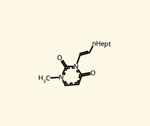 CCCCCCCC=Cn1c(=O)ccn(C)c1=O